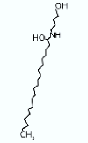 CCCCCCCCCCCCCCCCCCCC(O)NCCCCCO